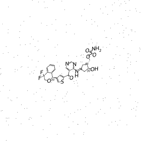 NS(=O)(=O)OC[C@H]1C[C@@H](Nc2ncncc2C(=O)c2cc([C@H]3OCC(F)(F)c4ccccc43)cs2)C[C@@H]1O